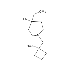 CCC1(COC)CCN(CC2(C(=O)O)CCC2)CC1